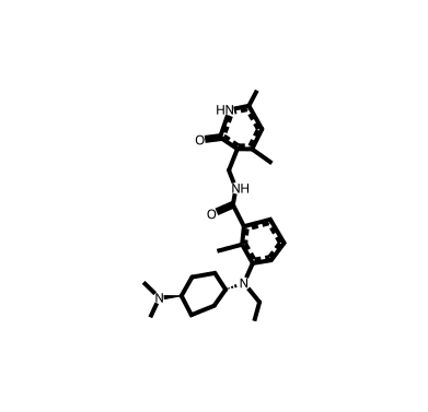 CCN(c1cccc(C(=O)NCc2c(C)cc(C)[nH]c2=O)c1C)[C@H]1CC[C@H](N(C)C)CC1